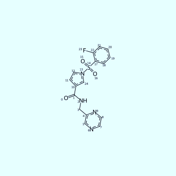 O=C(NCc1cnccn1)c1ccn(S(=O)(=O)c2ccccc2F)c1